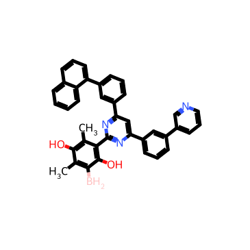 Bc1c(C)c(O)c(C)c(-c2nc(-c3cccc(-c4cccnc4)c3)cc(-c3cccc(-c4cccc5ccccc45)c3)n2)c1O